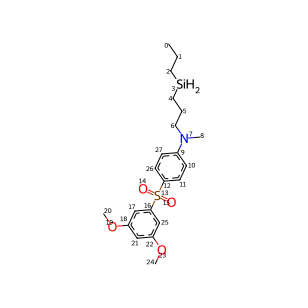 CCC[SiH2]CCCN(C)c1ccc(S(=O)(=O)c2cc(OC)cc(OC)c2)cc1